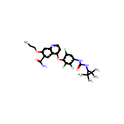 BC1(B)C(NC(=O)Nc2cc(F)c(Oc3ccnc4cc(OCCC#N)c(C(N)=O)cc34)c(F)c2Cl)C1(B)B